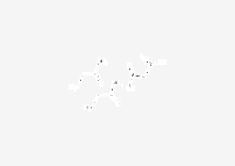 CCC(N)=O.CCC(N)=O.O=C(O)CC(=O)O